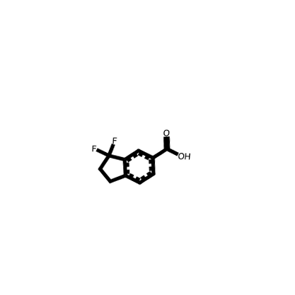 O=C(O)c1ccc2c(c1)C(F)(F)CC2